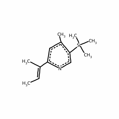 C/C=C(\C)c1cc(C)c([Si](C)(C)C)cn1